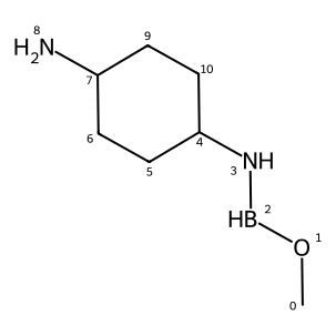 COBNC1CCC(N)CC1